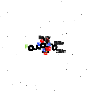 COc1ccc(CN2C(=O)c3c(c(O[Si](C(C)C)(C(C)C)C(C)C)c4ncc(Cc5ccc(F)cc5)cc4c3N(C)S(C)(=O)=O)C2=O)c(OC)c1